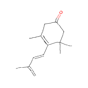 C=C(C)/C=C/C1=C(C)CC(=O)CC1(C)C